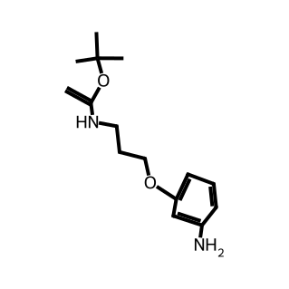 C=C(NCCCOc1cccc(N)c1)OC(C)(C)C